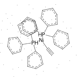 C#[C][Ni]([PH](c1ccccc1)(c1ccccc1)c1ccccc1)[PH](c1ccccc1)(c1ccccc1)c1ccccc1